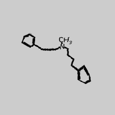 CN(CCCCc1ccccc1)CCCc1ccccc1